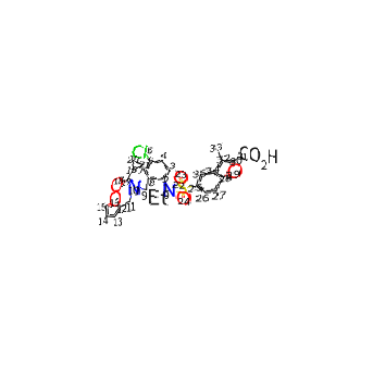 CCN(c1ccc(Cl)cc1CN(Cc1ccco1)C(=O)C1CC1)S(=O)(=O)c1ccc2oc(C(=O)O)c(C)c2c1